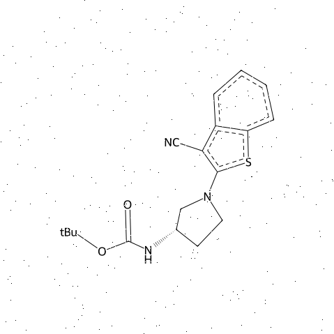 CC(C)(C)OC(=O)N[C@H]1CCN(c2sc3ccccc3c2C#N)C1